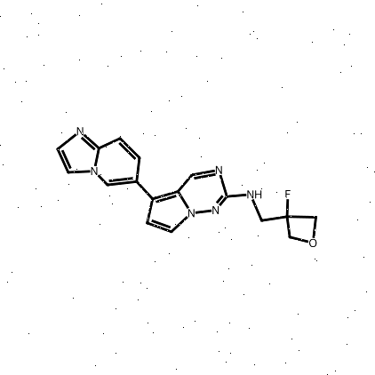 FC1(CNc2ncc3c(-c4ccc5nccn5c4)ccn3n2)COC1